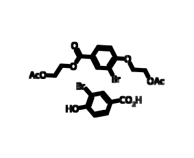 CC(=O)OCCOC(=O)c1ccc(OCCOC(C)=O)c(Br)c1.O=C(O)c1ccc(O)c(Br)c1